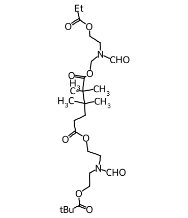 CCC(=O)OCCN(C=O)COC(=O)C(C)(C)C(C)(C)CCC(=O)OCCN(C=O)CCOC(=O)C(C)(C)C